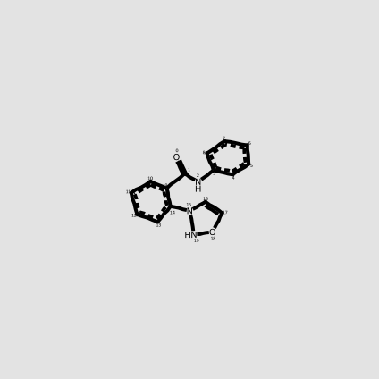 O=C(Nc1ccccc1)c1ccccc1N1C=CON1